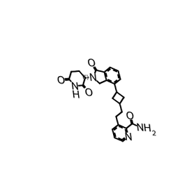 NC(=O)c1ncccc1CCC1CC(c2cccc3c2CN([C@H]2CCC(=O)NC2=O)C3=O)C1